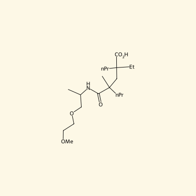 CCCC(C)(CC(CC)(CCC)C(=O)O)C(=O)NC(C)COCCOC